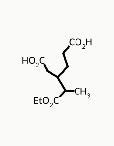 CCOC(=O)C(C)C(CCC(=O)O)CC(=O)O